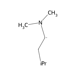 CC(C)C[CH]N(C)C